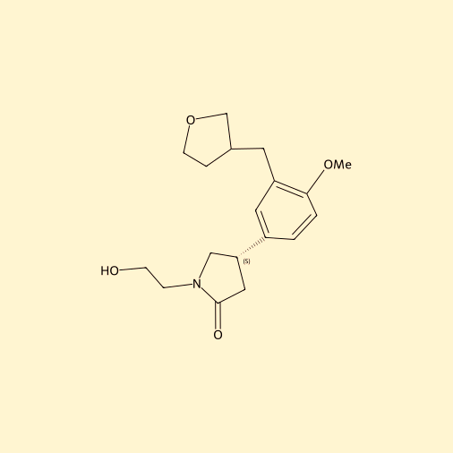 COc1ccc([C@@H]2CC(=O)N(CCO)C2)cc1CC1CCOC1